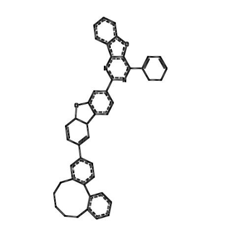 C1=CCCC(c2nc(-c3ccc4c(c3)OC3C=CC(c5ccc6c(c5)CCCCCc5ccccc5-6)=CC43)nc3c2oc2ccccc23)=C1